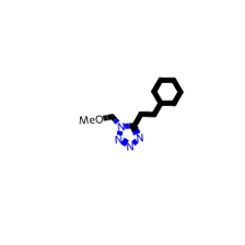 [CH2]OCn1nnnc1CCC1CCCCC1